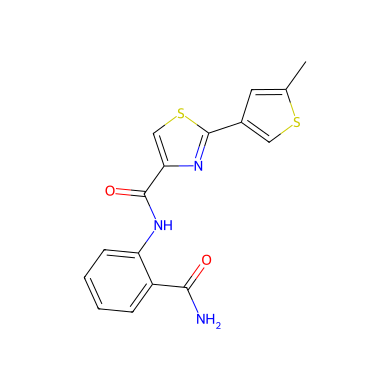 Cc1cc(-c2nc(C(=O)Nc3ccccc3C(N)=O)cs2)cs1